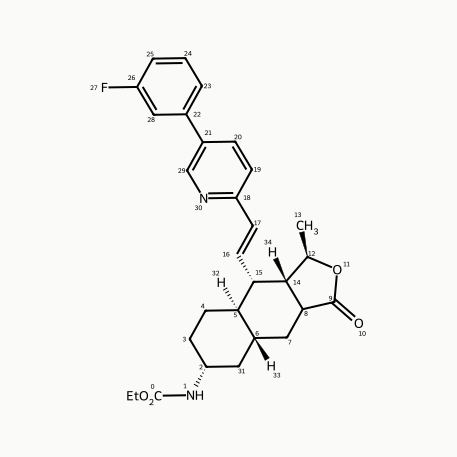 CCOC(=O)N[C@@H]1CC[C@@H]2[C@H](CC3C(=O)O[C@H](C)[C@H]3[C@H]2/C=C/c2ccc(-c3cccc(F)c3)cn2)C1